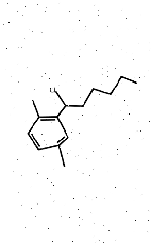 CCCCCC(Cl)c1cc(C)ccc1C